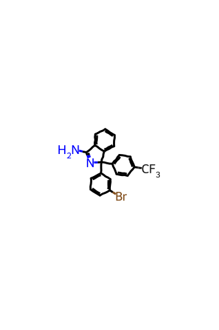 NC1=NC(c2ccc(C(F)(F)F)cc2)(c2cccc(Br)c2)c2ccccc21